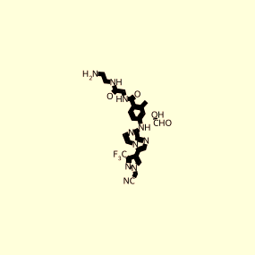 Cc1cc(Nc2nccn3c(-c4cn(CC#N)nc4C(F)(F)F)cnc23)ccc1C(=O)NCC(=O)NCCN.O=CO